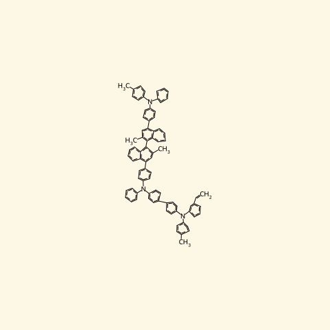 C=Cc1cccc(N(c2ccc(C)cc2)c2ccc(-c3ccc(N(c4ccccc4)c4ccc(-c5cc(C)c(-c6c(C)cc(-c7ccc(N(c8ccccc8)c8ccc(C)cc8)cc7)c7ccccc67)c6ccccc56)cc4)cc3)cc2)c1